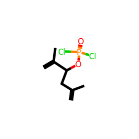 C=C(C)CC(OP(=O)(Cl)Cl)C(=C)C